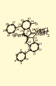 CCCC(C)C1=Cc2c(-c3ccccc3)cccc2[CH]1[Zr]([CH3])([CH3])(=[SiH2])[CH]1C(C)=Cc2c(-c3ccccc3)ccc(C)c21.Cl.Cl